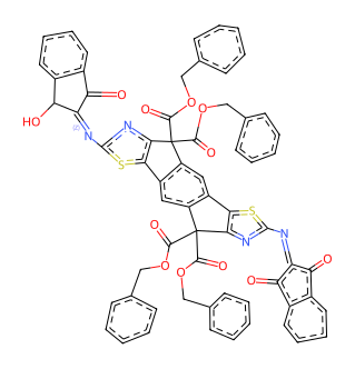 O=C1/C(=N\c2nc3c(s2)-c2cc4c(cc2C3(C(=O)OCc2ccccc2)C(=O)OCc2ccccc2)-c2sc(N=c3c(=O)c5ccccc5c3=O)nc2C4(C(=O)OCc2ccccc2)C(=O)OCc2ccccc2)C(O)c2ccccc21